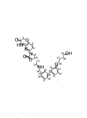 O=C1COc2ccc(N3C[C@H](CCNCc4cccc(-c5cccc(OCCCCO)c5)c4)OC3=O)nc2N1